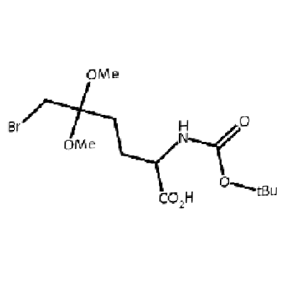 COC(CBr)(CCC(NC(=O)OC(C)(C)C)C(=O)O)OC